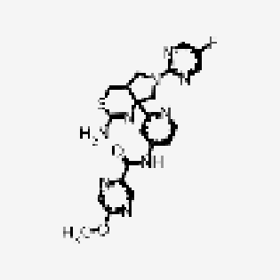 COc1cnc(C(=O)Nc2ccnc(C34CN(c5ncc(F)cn5)CC3CSC(N)=N4)c2)cn1